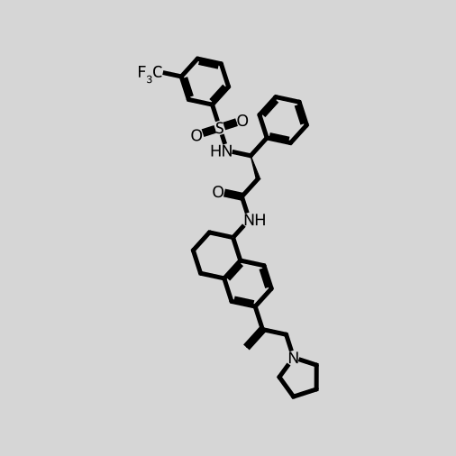 C=C(CN1CCCC1)c1ccc2c(c1)CCCC2NC(=O)C[C@@H](NS(=O)(=O)c1cccc(C(F)(F)F)c1)c1ccccc1